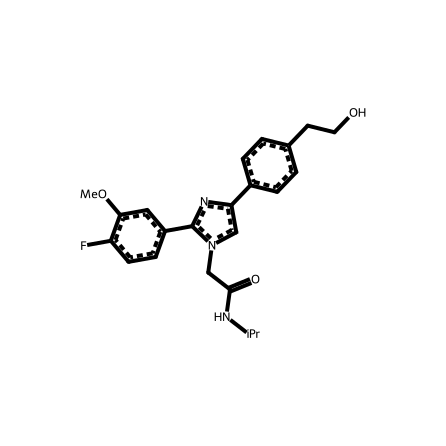 COc1cc(-c2nc(-c3ccc(CCO)cc3)cn2CC(=O)NC(C)C)ccc1F